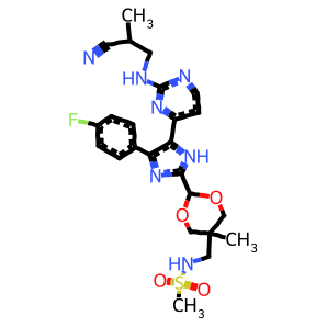 CC(C#N)CNc1nccc(-c2[nH]c(C3OCC(C)(CNS(C)(=O)=O)CO3)nc2-c2ccc(F)cc2)n1